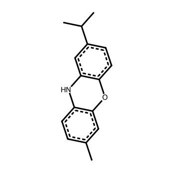 Cc1ccc2c(c1)Oc1ccc(C(C)C)cc1N2